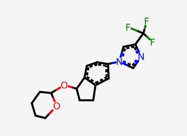 FC(F)(F)c1cn(-c2ccc3c(c2)CCC3OC2CCCCO2)cn1